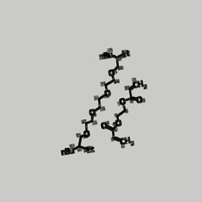 C=CC(=O)OCCOC(=O)C=C.CCCCC(CC)COCCOCCOCCOCC(CC)CCCC